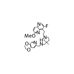 COc1ccc2ncc(F)c(CCN3CCC(C)(CNCc4cc5c(cn4)OCCO5)C3)c2n1